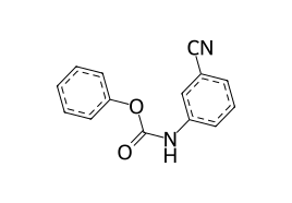 N#Cc1cccc(NC(=O)Oc2ccccc2)c1